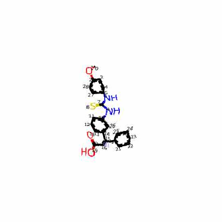 COc1ccc(NC(=S)Nc2cccc(/C(=C\C(=O)O)c3ccccc3)c2)cc1